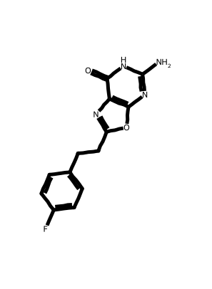 Nc1nc2oc(CCc3ccc(F)cc3)nc2c(=O)[nH]1